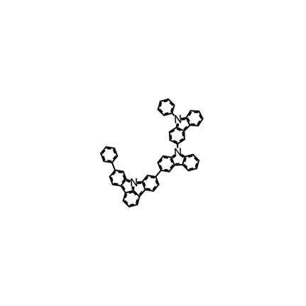 c1ccc(-c2ccc3c4cccc5c6ccc(-c7ccc8c(c7)c7ccccc7n8-c7ccc8c(c7)c7ccccc7n8-c7ccccc7)cc6n(c3c2)c45)cc1